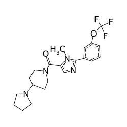 Cn1c(C(=O)N2CCC(N3CCCC3)CC2)cnc1-c1cccc(OC(F)(F)F)c1